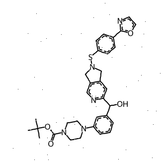 CC(C)(C)OC(=O)N1CCN(c2cccc(C(O)c3cc4c(cn3)CN(Sc3ccc(-c5ncco5)cc3)C4)c2)CC1